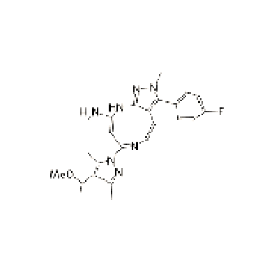 COC(C)c1c(C)nn(-c2cc(N)[nH]c3nn(C)c(-c4ccc(F)cc4)c3ccn2)c1C